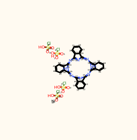 O=S(=O)(O)Cl.O=S(=O)(O)Cl.O=S(=O)(O)Cl.O=S(=O)(O)Cl.[Ni].c1ccc2c(c1)-c1nc-2nc2[nH]c(nc3nc(nc4[nH]c(n1)c1ccccc41)-c1ccccc1-3)c1ccccc21